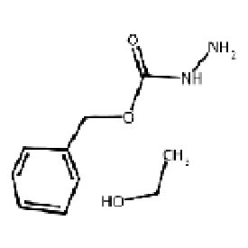 CCO.NNC(=O)OCc1ccccc1